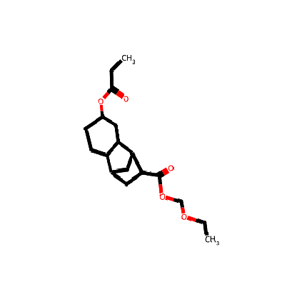 CCOCOC(=O)C1CC2CC1C1CC(OC(=O)CC)CCC21